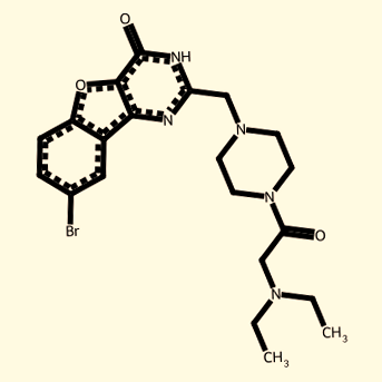 CCN(CC)CC(=O)N1CCN(Cc2nc3c(oc4ccc(Br)cc43)c(=O)[nH]2)CC1